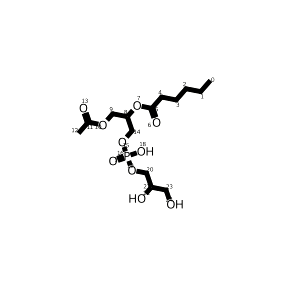 CCCCCC(=O)OC(COC(C)=O)COP(=O)(O)OCC(O)CO